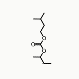 C[CH]C(C)OC(=O)OCCC(C)C